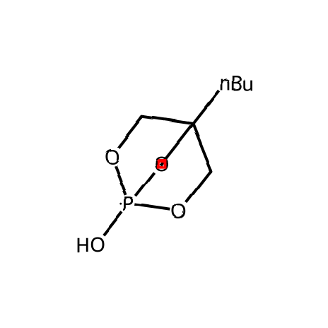 CCCCC12CO[P](O)(OC1)OC2